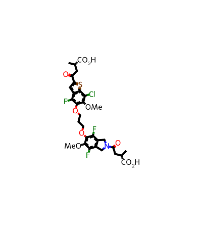 COc1c(F)c2c(c(F)c1OCCCOc1c(OC)c(Cl)c3sc(C(=O)CC(C)C(=O)O)cc3c1F)CN(C(=O)CC(C)C(=O)O)C2